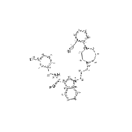 N#Cc1cccnc1N1CCCN(CCCn2cc(C(=O)NCc3cccc(Cl)c3)c3ccccc32)CC1